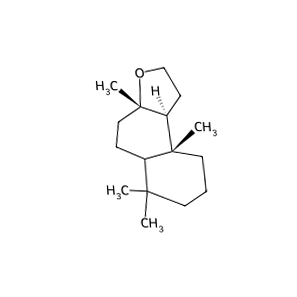 CC1(C)CCC[C@]2(C)C1CC[C@]1(C)OCC[C@H]12